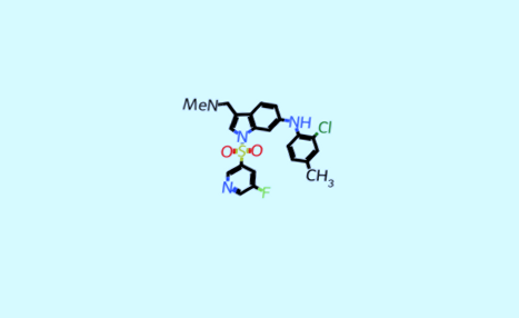 CNCc1cn(S(=O)(=O)c2cncc(F)c2)c2cc(Nc3ccc(C)cc3Cl)ccc12